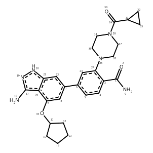 NC(=O)c1ccc(-c2cc(OC3CCCC3)c3c(N)n[nH]c3c2)cc1N1CCN(C(=O)C2CC2)CC1